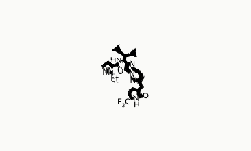 CCn1nccc1C(=O)N[C@H](c1cn2nc(CC3CCC(C(F)(F)F)NC3=O)ccc2n1)C(C1CC1)C1CC1